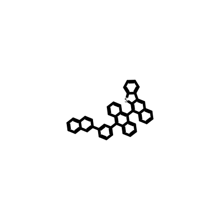 c1cc(-c2ccc3ccccc3c2)cc(-c2c3ccccc3c(-c3c4ccccc4cc4c3sc3ccccc34)c3ccccc23)c1